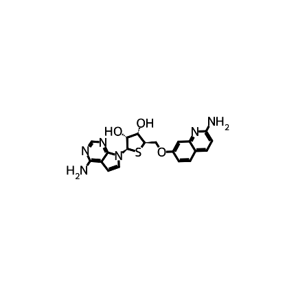 Nc1ccc2ccc(OC[C@H]3S[C@@H](n4ccc5c(N)ncnc54)[C@H](O)[C@@H]3O)cc2n1